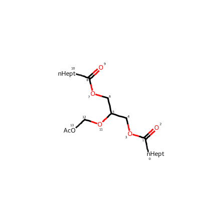 CCCCCCCC(=O)OCC(COC(=O)CCCCCCC)OCOC(C)=O